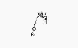 CCCC[C@H](C#CCCCCCCCOCCCBr)OCC(C)(C)[SiH](C)C